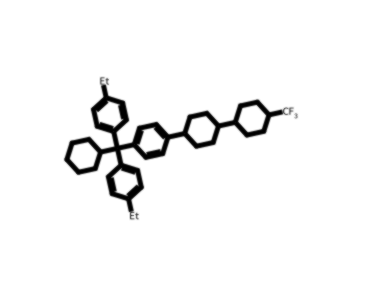 CCc1ccc(C(c2ccc(CC)cc2)(c2ccc(C3CCC(C4CCC(C(F)(F)F)CC4)CC3)cc2)C2CCCCC2)cc1